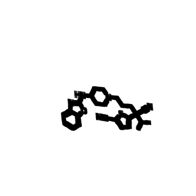 CC(C)C(C#N)(CCCN1CCC(Nc2nc3ccccc3o2)CC1)c1ccc(C#N)s1